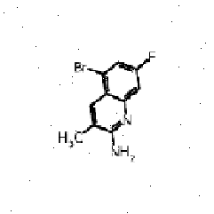 Cc1cc2c(Br)cc(F)cc2nc1N